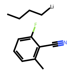 Cc1cccc(F)c1C#N.[Li][CH2]CCC